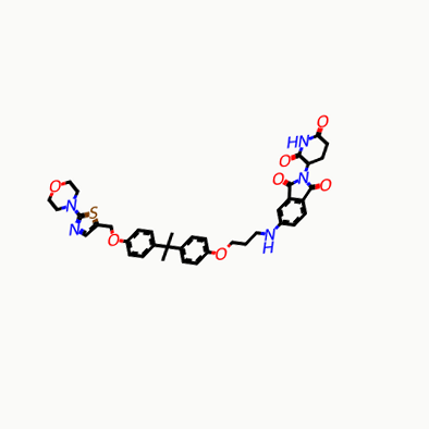 CC(C)(c1ccc(OCCCNc2ccc3c(c2)C(=O)N(C2CCC(=O)NC2=O)C3=O)cc1)c1ccc(OCc2cnc(N3CCOCC3)s2)cc1